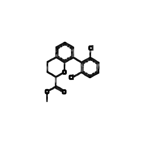 COC(=O)C1CCc2cccc(-c3c(Cl)cccc3Cl)c2O1